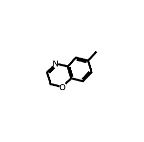 Cc1ccc2c(c1)N=CCO2